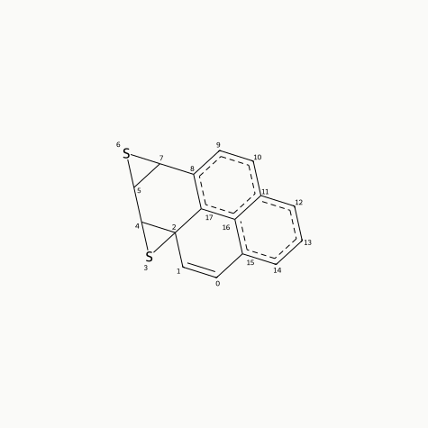 C1=CC23SC2C2SC2c2ccc4cccc1c4c23